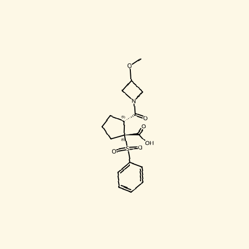 COC1CN(C(=O)[C@H]2CCC[C@@]2(C(=O)O)S(=O)(=O)c2ccccc2)C1